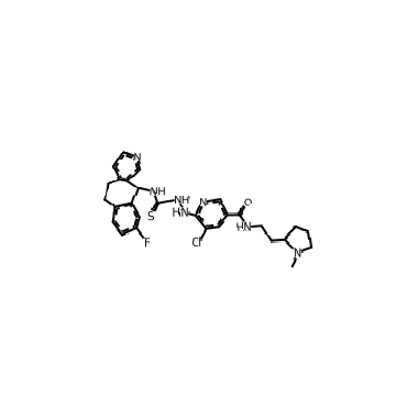 CN1CCCC1CCNC(=O)c1cnc(NNC(=S)NC2c3cnccc3CCc3ccc(F)cc32)c(Cl)c1